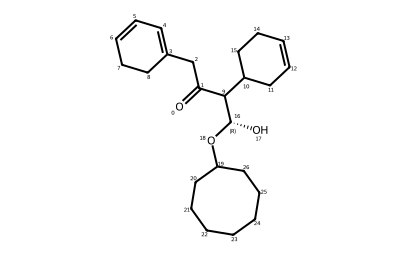 O=C(CC1=CC=CCC1)C(C1CC=CCC1)[C@H](O)OC1CCCCCCC1